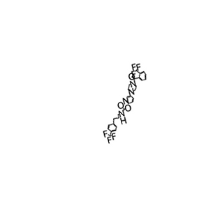 O=C(NCCCc1ccc(C(F)(F)F)cc1)Oc1ccc(N2CCN(C(=O)c3ccccc3C(F)(F)F)CC2)cn1